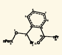 CCCCCOC(Br)c1ccccc1C(=O)CCC